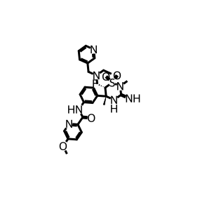 CCN(Cc1cccnc1)C[C@H]1[C@@](C)(c2cc(NC(=O)c3ccc(OC)cn3)ccc2F)NC(=N)N(C)S1(=O)=O